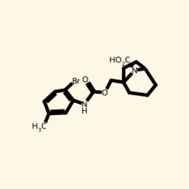 Cc1ccc(Br)c(NC(=O)OCC23CCCC(CC2)N3C(=O)O)c1